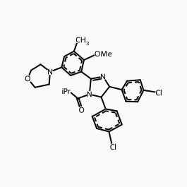 COc1c(C)cc(N2CCOCC2)cc1C1=NC(c2ccc(Cl)cc2)C(c2ccc(Cl)cc2)N1C(=O)C(C)C